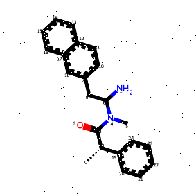 C[C@H](C(=O)N(C)C(N)Cc1ccc2ccccc2c1)c1ccccc1